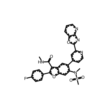 CNC(=O)c1c(-c2ccc(F)cc2)oc2cc(N(C)S(C)(=O)=O)c(-c3ccnc(-c4nc5ncccc5o4)c3)cc12